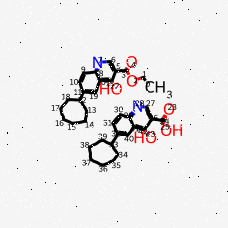 CCOC(=O)c1cnc2ccc(C3CCCCCC3)cc2c1O.O=C(O)c1cnc2ccc(C3CCCCCC3)cc2c1O